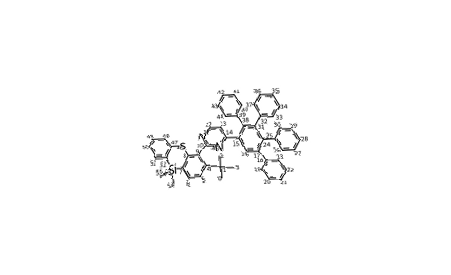 CC(C)(C)c1ccc2c(c1-c1nccc(-c3cc(-c4ccccc4)c(-c4ccccc4)c(-c4ccccc4)c3-c3ccccc3)n1)Sc1ccccc1[Si]2(C)C